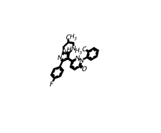 Cc1ccccc1-n1nc(-c2c(-c3ccc(F)cc3)nn3c2NCC(C)C3)ccc1=O